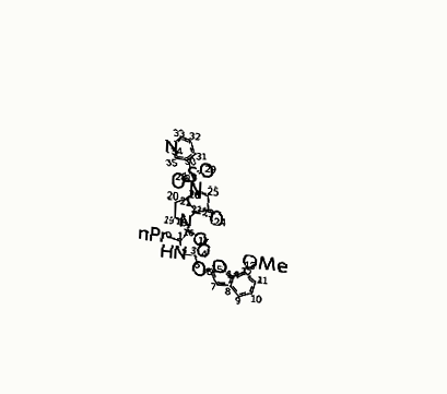 CCCC(NC(=O)Oc1cc2cccc(OC)c2o1)C(=O)N1CCC2C1C(=O)CN2S(=O)(=O)c1cccnc1